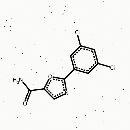 NC(=O)c1cnc(-c2cc(Cl)cc(Cl)c2)o1